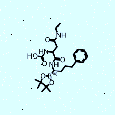 CCNC(=O)CC(NC(=O)O)C(=O)N[C@@H](CCCc1ccccc1)B1OC(C)(C)C(C)(C)O1